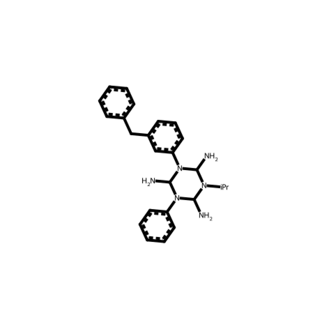 CC(C)N1C(N)N(c2ccccc2)C(N)N(c2cccc(Cc3ccccc3)c2)C1N